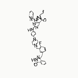 C=CCn1c(=O)c2cnc(Nc3ccc(N4CCN(Cc5cc(Cc6n[nH]c(=O)c7ccccc67)ccc5F)CC4)cc3)nc2n1-c1ccccn1